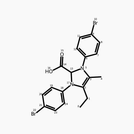 CCC1=C(C)N(c2ccc(Br)cc2)C(C(=O)O)N1c1ccc(Br)cc1